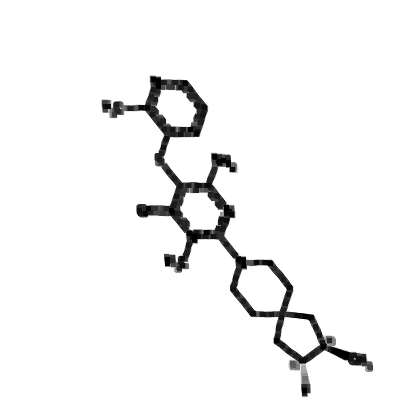 C[C@@H]1CC2(CCN(c3nc(N)c(Sc4cccnc4C(F)(F)F)c(=O)n3C)CC2)C[C@H]1F